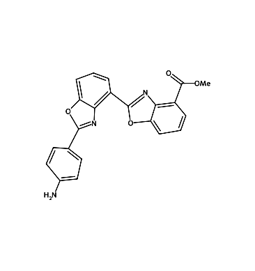 COC(=O)c1cccc2oc(-c3cccc4oc(-c5ccc(N)cc5)nc34)nc12